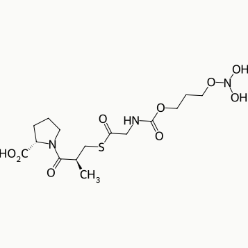 C[C@H](CSC(=O)CNC(=O)OCCCON(O)O)C(=O)N1CCC[C@H]1C(=O)O